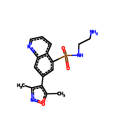 Cc1noc(C)c1-c1cc(S(=O)(=O)NCCN)c2cccnc2c1